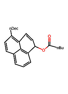 CCCCCCCCCCc1ccc2cccc3c2c1C=CC3OC(=O)CCCC